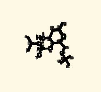 CC(C)O[PH](=O)OC1C(O)CC(C)OC1COC(C)(C)C